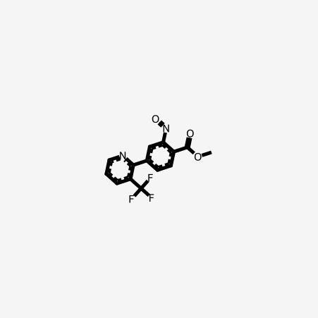 COC(=O)c1ccc(-c2ncccc2C(F)(F)F)cc1N=O